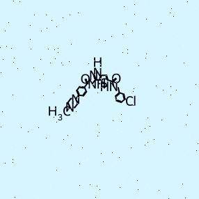 CN1CCN(c2ccc(C(=O)Nc3n[nH]c4cc(C(=O)NCc5cccc(Cl)c5)sc34)cc2)CC1